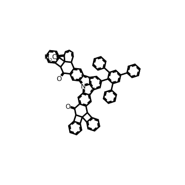 C=C1C=CC=CC2c3cc4c5cc(-c6c(-c7ccccc7)cc(-c7ccccc7)cc6-c6ccccc6)cc6c7cc8c(cc7n(c4cc3C(=O)C3c4ccccc4C123)c56)C(=O)C1c2ccccc2C12c1ccccc1C82